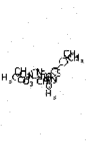 Cc1nc(CN2CCN(C(=O)OC(C)(C)C)CC2(C)C)c2cc(C3CCC(C)(C)CC3)sc2n1